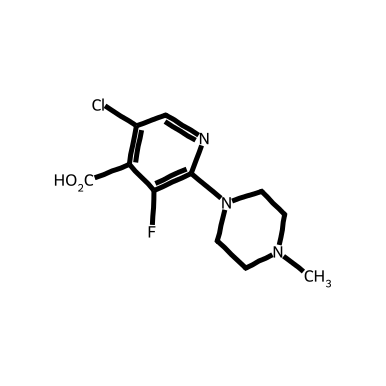 CN1CCN(c2ncc(Cl)c(C(=O)O)c2F)CC1